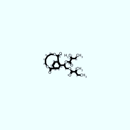 C=C(CC)C(=O)OCC(OC(=O)C(=C)CC)c1cc2ccc1C(=O)OCCCCOC2=O